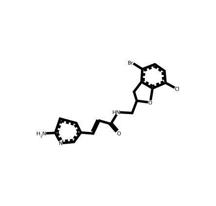 Nc1ccc(/C=C/C(=O)NCC2Cc3c(Br)ccc(Cl)c3O2)cn1